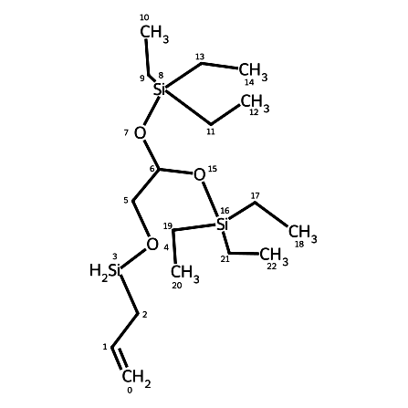 C=CC[SiH2]OCC(O[Si](CC)(CC)CC)O[Si](CC)(CC)CC